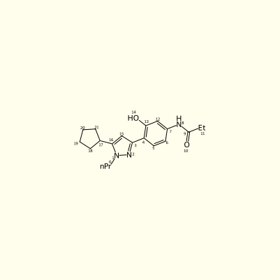 CCCn1nc(-c2ccc(NC(=O)CC)cc2O)cc1C1CCCC1